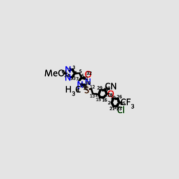 COc1ncc(Cc2cn(C)c(SCCc3ccc(Oc4ccc(Cl)c(C(F)(F)F)c4)c(C#N)c3)nc2=O)cn1